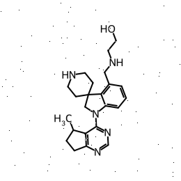 CC1CCc2ncnc(N3CC4(CCNCC4)c4c(CNCCO)cccc43)c21